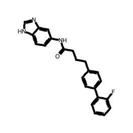 O=C(CCCc1ccc(-c2ccccc2F)cc1)Nc1ccc2[nH]cnc2c1